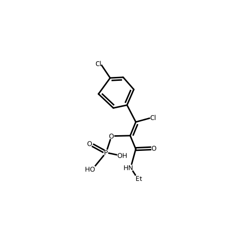 CCNC(=O)C(OP(=O)(O)O)=C(Cl)c1ccc(Cl)cc1